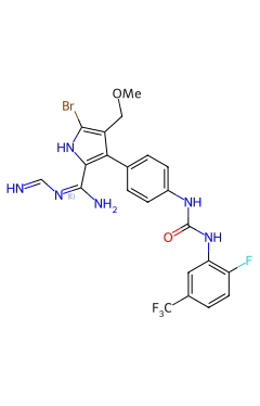 COCc1c(Br)[nH]c(/C(N)=N\C=N)c1-c1ccc(NC(=O)Nc2cc(C(F)(F)F)ccc2F)cc1